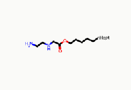 CCCCCCCCCCCCOC(=O)CNCCN